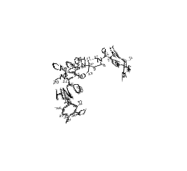 C[C@@H](NC(=O)C(=O)N1CCC2(CC1)COc1c(c(Cl)n(C)c1C(=O)Nc1ccc(F)c(Cl)c1)S(=O)(=O)N2)C(F)(F)F